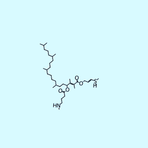 CNCCCC(=O)OC(CCC(C)CCCCC(C)CCCC(C)CCCC(C)C)/C(C)=C(\C)C(=O)OCC=C[SH](C)C